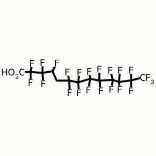 O=C(O)C(F)(F)C(F)(F)C(F)CC(F)(F)C(F)(F)C(F)(F)C(F)(F)C(F)(F)C(F)(F)C(F)(F)C(F)(F)F